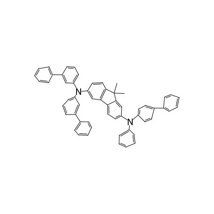 CC1(C)c2ccc(N(c3cccc(-c4ccccc4)c3)c3cccc(-c4ccccc4)c3)cc2-c2ccc(N(c3ccccc3)c3ccc(-c4ccccc4)cc3)cc21